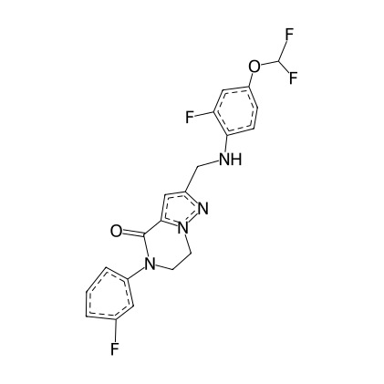 O=C1c2cc(CNc3ccc(OC(F)F)cc3F)nn2CCN1c1cccc(F)c1